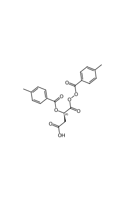 Cc1ccc(C(=O)OOC(=O)[C@@H](CC(=O)O)OC(=O)c2ccc(C)cc2)cc1